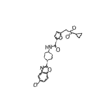 O=C(NC1CCC(c2nc3cc(Cl)ccc3o2)CC1)c1ccc(CS(=O)(=O)C2CC2)o1